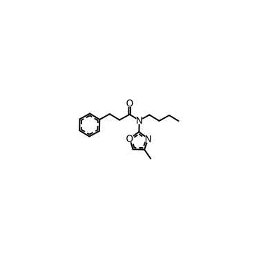 CCCCN(C(=O)CCc1ccccc1)c1nc(C)co1